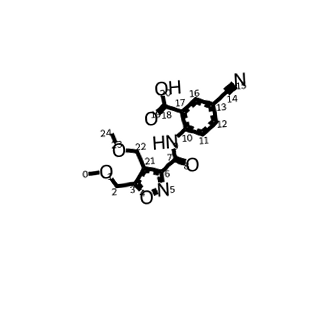 COCc1onc(C(=O)Nc2ccc(C#N)cc2C(=O)O)c1COC